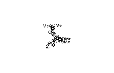 COc1ccc(C(=O)N2CCN(c3nc(NC(=O)C4CCCN4C(=O)C(C)CSC(C)=O)c4cc(OC)c(OC)cc4n3)CC2)cc1OC